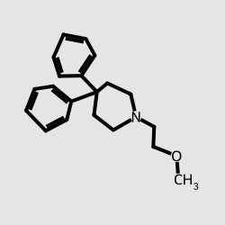 COCCN1CCC(c2ccccc2)(c2ccccc2)CC1